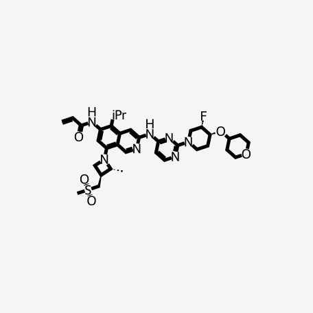 C=CC(=O)Nc1cc(N2C[C@H](CS(C)(=O)=O)[C@H]2C)c2cnc(Nc3ccnc(N4CC[C@@H](OC5CCOCC5)[C@@H](F)C4)n3)cc2c1C(C)C